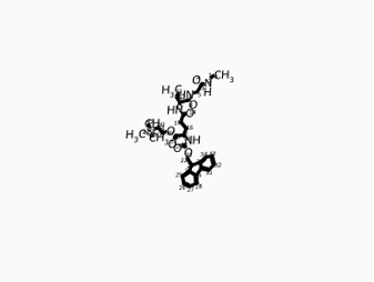 CCNC(=O)CNC(=O)C(CC)NC(=O)CCC(NC(=O)OCC1c2ccccc2-c2ccccc21)C(=O)OCC[Si](C)(C)C